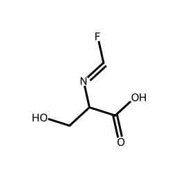 O=C(O)C(CO)N=CF